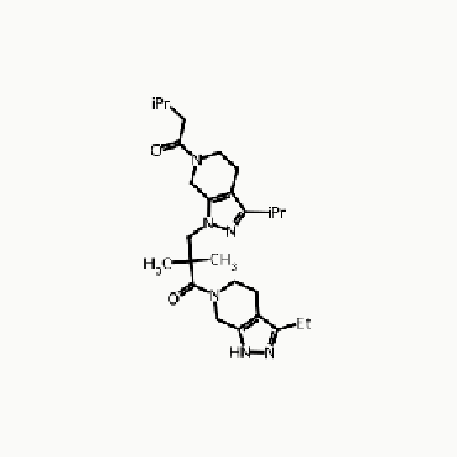 CCc1n[nH]c2c1CCN(C(=O)C(C)(C)Cn1nc(C(C)C)c3c1CN(C(=O)CC(C)C)CC3)C2